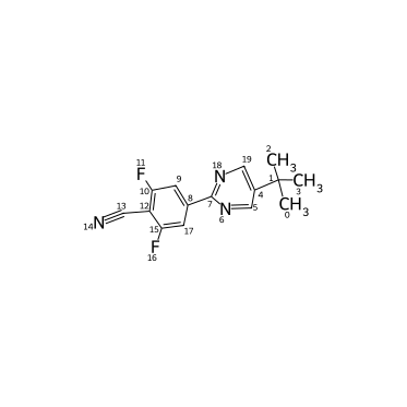 CC(C)(C)c1cnc(-c2cc(F)c(C#N)c(F)c2)nc1